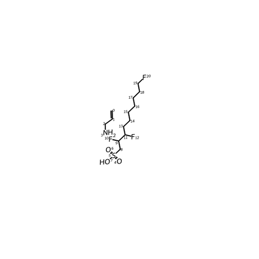 C=CCN.O=S(=O)(O)CC(F)C(F)CCCCCCCF